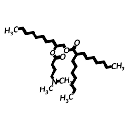 CCCCCCCCC(COC(=O)C(CCCCCCC)CCCCCCC)OC(=O)CCCN(C)C